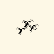 CCCOC(C)(CC(=O)CC(=O)[O-])OCCC.CCCOC(C)(CC(=O)CC(=O)[O-])OCCC.CCCOC(C)(CC(=O)CC(=O)[O-])OCCC.[Ga+3]